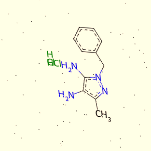 Cc1nn(Cc2ccccc2)c(N)c1N.Cl.Cl